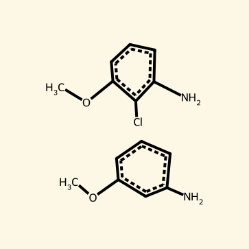 COc1cccc(N)c1.COc1cccc(N)c1Cl